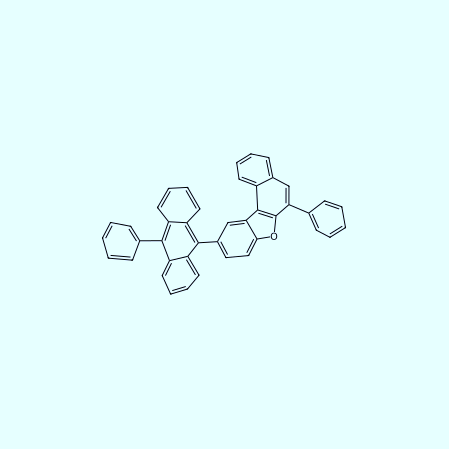 c1ccc(-c2c3ccccc3c(-c3ccc4oc5c(-c6ccccc6)cc6ccccc6c5c4c3)c3ccccc23)cc1